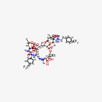 CCC1OC(=O)C(C)C(O[C@H]2C[C@@](C)(OC)[C@](O)(CNCCc3ccc(C(F)(F)F)cc3)[C@H](C)O2)C(C)C(O[C@@H]2O[C@H](C)C[C@H](N(C)S(=O)(=O)Nc3ccc(C(F)(F)F)cc3)[C@H]2O)C(C)(O)CC(C)CNC(C)C(O)C1(C)O